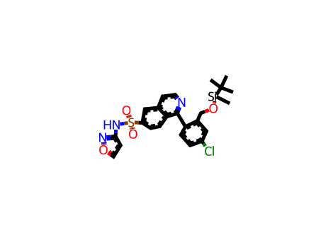 CC(C)(C)[Si](C)(C)OCc1cc(Cl)ccc1-c1nccc2cc(S(=O)(=O)Nc3ccon3)ccc12